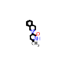 C=C1CCC(N2CCc3ccccc3C2)C(=O)N1